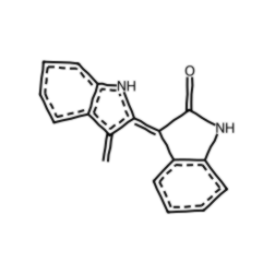 C=c1/c(=C2/C(=O)Nc3ccccc32)[nH]c2ccccc12